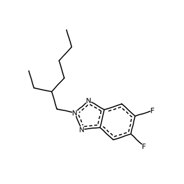 CCCCC(CC)Cn1nc2cc(F)c(F)cc2n1